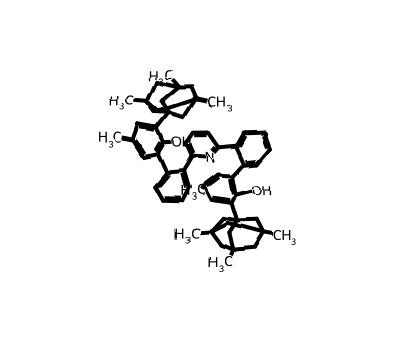 Cc1cc(-c2ccccc2-c2cccc(-c3ccccc3-c3cc(C)cc(C45CC6(C)CC(C)(CC(C)(C6)C4)C5)c3O)n2)c(O)c(C23CC4(C)CC(C)(CC(C)(C4)C2)C3)c1